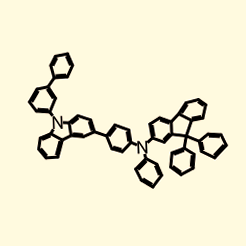 c1ccc(-c2cccc(-n3c4ccccc4c4cc(-c5ccc(N(c6ccccc6)c6ccc7c(c6)C(c6ccccc6)(c6ccccc6)c6ccccc6-7)cc5)ccc43)c2)cc1